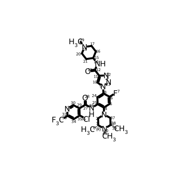 C[C@@H]1CN(c2cc(F)c(-n3cc(C(=O)NC4CCN(C)CC4)nn3)cc2NC(=O)c2cnc(C(F)(F)F)cc2Cl)C[C@H](C)N1C